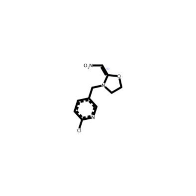 O=[N+]([O-])/C=C1/OCCN1Cc1ccc(Cl)nc1